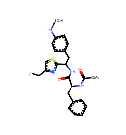 COC(=O)N[C@@H](Cc1ccccc1)C(=O)NC(Cc1ccc(NS(=O)(=O)O)cc1)c1nc(CC(F)(F)F)cs1